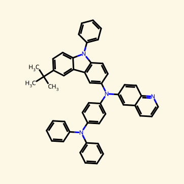 CC(C)(C)c1ccc2c(c1)c1cc(N(c3ccc(N(c4ccccc4)c4ccccc4)cc3)c3ccc4ncccc4c3)ccc1n2-c1ccccc1